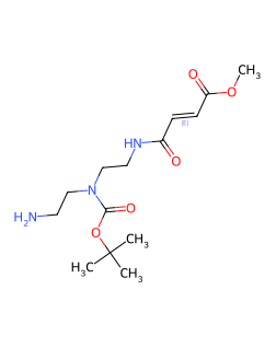 COC(=O)/C=C/C(=O)NCCN(CCN)C(=O)OC(C)(C)C